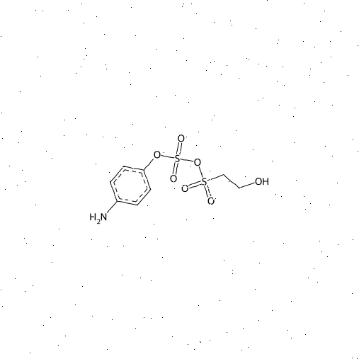 Nc1ccc(OS(=O)(=O)OS(=O)(=O)CCO)cc1